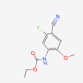 CCOC(=O)Nc1cc(F)c(C#N)cc1OC